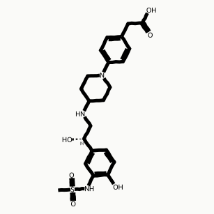 CS(=O)(=O)Nc1cc([C@H](O)CNC2CCN(c3ccc(CC(=O)O)cc3)CC2)ccc1O